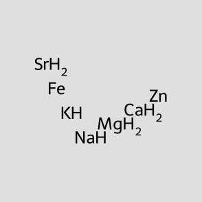 [CaH2].[Fe].[KH].[MgH2].[NaH].[SrH2].[Zn]